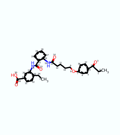 CCC(=O)c1ccc(OCCCCC(=O)Nc2ccccc2C(=O)Nc2cc(C(=O)O)ccc2CC)cc1